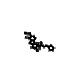 COc1ccc2c(nc3n2C(NC(=O)CCC2CCCC2)(C(F)(F)F)C(=O)N3)c1C(C)=O